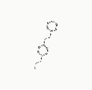 [CH2]CCc1ccc(CCc2ccccc2)cc1